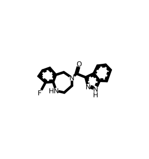 O=C(c1n[nH]c2ccccc12)N1CCNc2c(F)cccc2C1